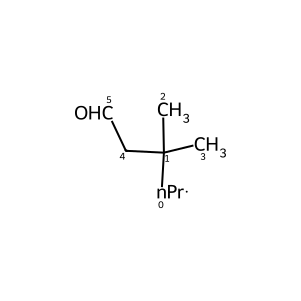 CC[CH]C(C)(C)CC=O